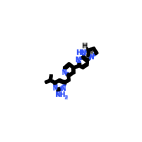 CC(C)c1cc(Cc2cc(-c3ccc4c(n3)N[C@H]3CCN4C3)ccn2)nc(N)n1